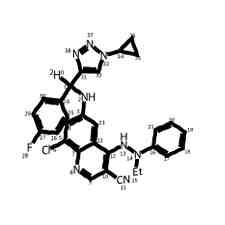 [2H]C(Nc1cc(Cl)c2ncc(C#N)c(NN(CC)c3ccccc3)c2c1)(c1ccc(F)cc1)c1cn(C2CC2)nn1